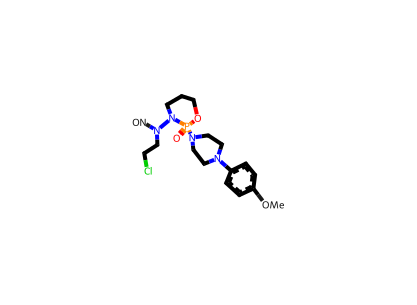 COc1ccc(N2CCN(P3(=O)OCCCN3N(CCCl)N=O)CC2)cc1